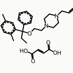 C=CCN1CCN(CCOC(CC)(c2ccccc2)c2cc(C)ccc2C)CC1.O=C(O)/C=C/C(=O)O